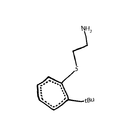 CC(C)(C)c1ccccc1SCCN